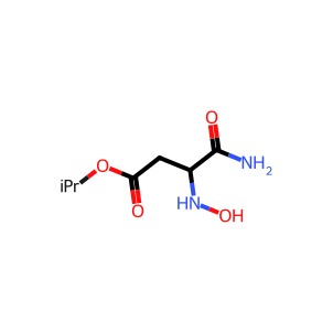 CC(C)OC(=O)CC(NO)C(N)=O